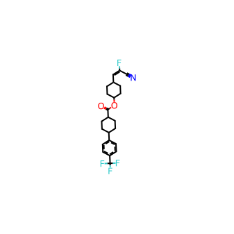 N#C/C(F)=C\C1CCC(OC(=O)C2CCC(c3ccc(C(F)(F)F)cc3)CC2)CC1